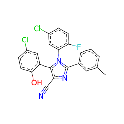 Cc1cccc(-c2nc(C#N)c(-c3cc(Cl)ccc3O)n2-c2cc(Cl)ccc2F)c1